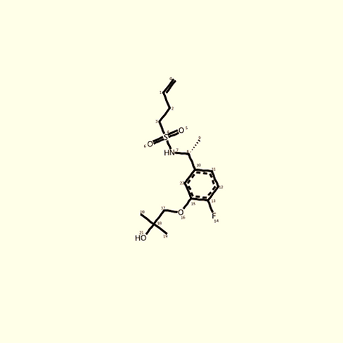 C=CCCS(=O)(=O)N[C@H](C)c1ccc(F)c(OCC(C)(C)O)c1